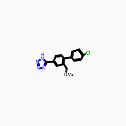 COCc1cc(-c2nnn[nH]2)ccc1-c1ccc(Cl)cc1